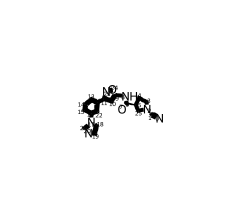 N#CN1CC[C@H](C(=O)Nc2cc(-c3cccc(-n4ccnc4)c3)no2)C1